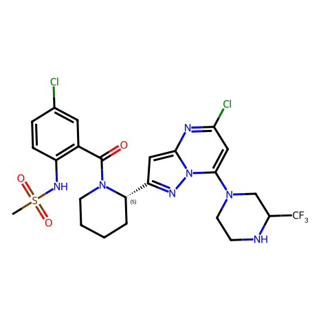 CS(=O)(=O)Nc1ccc(Cl)cc1C(=O)N1CCCC[C@H]1c1cc2nc(Cl)cc(N3CCNC(C(F)(F)F)C3)n2n1